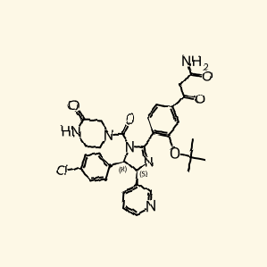 CC(C)(C)Oc1cc(C(=O)CC(N)=O)ccc1C1=N[C@@H](c2cccnc2)[C@@H](c2ccc(Cl)cc2)N1C(=O)N1CCNC(=O)C1